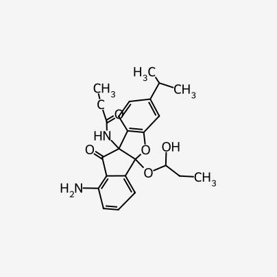 CCC(=O)NC12C(=O)c3c(N)cccc3C1(OC(O)CC)Oc1cc(C(C)C)ccc12